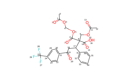 CC(=O)OCOC(=O)C(COC(C)=O)(C(=O)O)C(CC(=O)c1ccc(C(F)(F)F)cc1)c1ccccc1